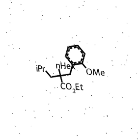 CCCCCCC(Cc1ccccc1OC)(CC(C)C)C(=O)OCC